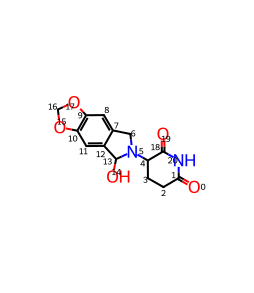 O=C1CCC(N2Cc3cc4c(cc3C2O)OCO4)C(=O)N1